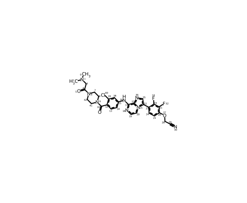 CN(C)CC(=O)N1CCN(C(=O)c2ccc(Nc3nccn4c(-c5ccc(OCC#N)c(F)c5F)cnc34)cc2Cl)CC1